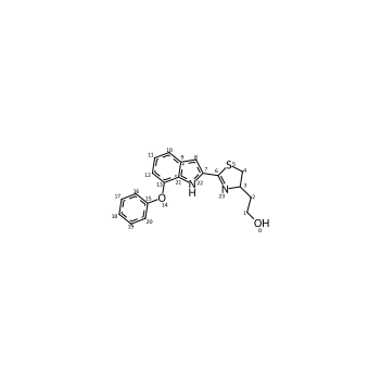 OCCC1CSC(c2cc3cccc(Oc4ccccc4)c3[nH]2)=N1